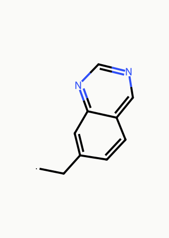 [CH2]Cc1ccc2cncnc2c1